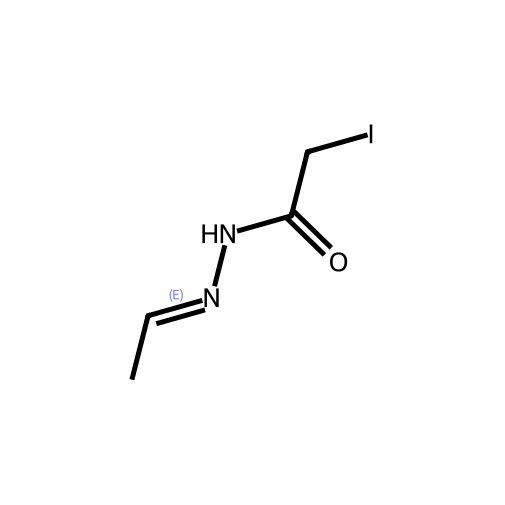 C/C=N/NC(=O)CI